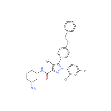 Cc1c(C(=O)NC2CCCC(N)C2)nn(-c2ccc(Cl)cc2Cl)c1-c1ccc(OCc2ccccc2)cc1